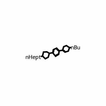 CCCCCCCC1CCC(c2ccc(C3=CCC(CCCC)CC3)cc2)CC1